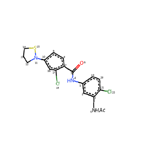 CC(=O)Nc1cc(NC(=O)c2ccc(N3CCCS3)cc2Cl)ccc1Cl